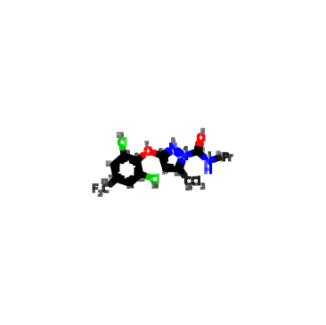 CC(C)NC(=O)n1nc(Oc2c(Cl)cc(C(F)(F)F)cc2Cl)cc1C(Cl)(Cl)Cl